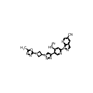 Cc1nnc(N2CC(n3cc(-c4cnc(-n5ncc6cc(C#N)cnc65)cc4NC(C)C)nn3)C2)o1